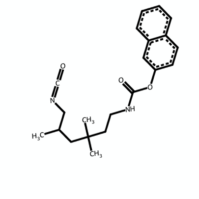 CC(CN=C=O)CC(C)(C)CCNC(=O)Oc1ccc2ccccc2c1